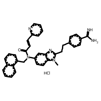 Cl.Cn1c(CCc2ccc(C(=N)N)cc2)nc2cc(N(Cc3cccc4ccccc34)C(=O)C=Cc3ccccn3)ccc21